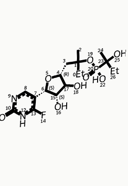 CCC(C)(C[C@H]1O[C@@H](c2cnc(=O)[nH]c2F)[C@@H](O)C1O)OP(=O)(O)C(C)(O)CC